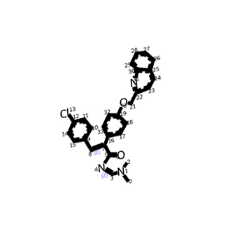 CN(C)/C=N\C(=O)/C(=C/c1ccc(Cl)cc1)c1ccc(OCc2ccc3ccccc3n2)cc1